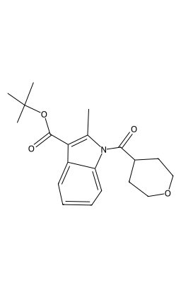 Cc1c(C(=O)OC(C)(C)C)c2ccccc2n1C(=O)C1CCOCC1